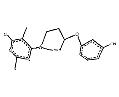 Cc1nc(Cl)c(C)c(N2CCC(Oc3cccc(C#N)c3)CC2)n1